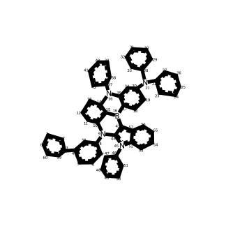 c1ccc(-c2cccc(N3c4cccc5c4B(c4ccc(N(c6ccccc6)c6ccccc6)cc4N5c4ccccc4)c4c3n(-c3ccccc3)c3ccccc43)c2)cc1